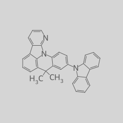 CC1(C)c2cc(-n3c4ccccc4c4ccccc43)ccc2-n2c3ncccc3c3cccc1c32